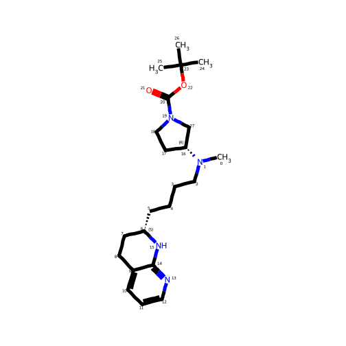 CN(CCCC[C@H]1CCc2cccnc2N1)[C@@H]1CCN(C(=O)OC(C)(C)C)C1